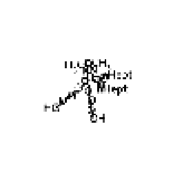 CCCCCCCOc1ccc(-c2nc3c(C)ccc(C)c3nc2-c2ccc(COCCOCCOCCO)c(COCCOCCOCCO)c2)cc1OCCCCCCC